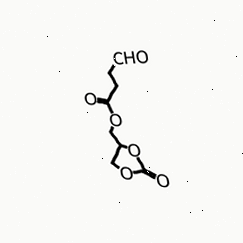 O=CCCC(=O)OCC1COC(=O)O1